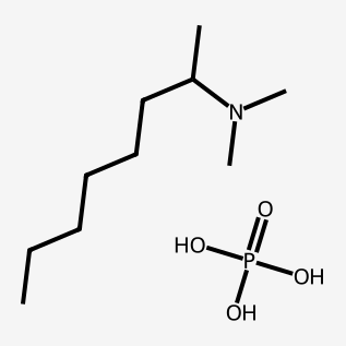 CCCCCCC(C)N(C)C.O=P(O)(O)O